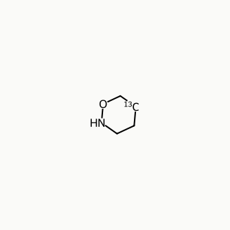 C1CNOC[13CH2]1